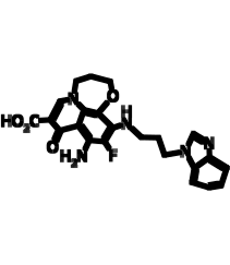 Nc1c(F)c(NCCCn2cnc3ccccc32)c2c3c1c(=O)c(C(=O)O)cn3CCCO2